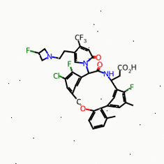 Cc1cc2cc(c1F)C(CC(=O)O)NC(=O)C(n1cc(CCN3CC(F)C3)c(C(F)(F)F)cc1=O)c1cc(cc(Cl)c1F)COc1cccc(C)c1-2